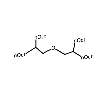 CCCCCCCCC(CCCCCCCC)COCC(CCCCCCCC)CCCCCCCC